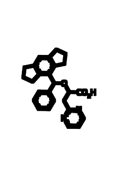 O=C(O)C(Cc1ncccn1)OC(c1ccccc1)c1c2c(cc3c1CCC3)CCC2